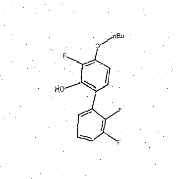 CCCCOc1ccc(-c2cccc(F)c2F)c(O)c1F